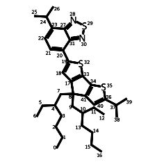 CCCCC(CC)CC1(CC(CC)CCCC)c2cc(-c3ccc(C(C)C)c4nsnc34)sc2-c2sc(C(C)C)cc21